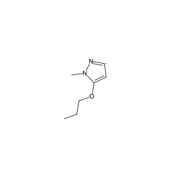 CCCOc1c[c]nn1C